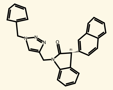 O=C1[C@H](c2ccc3ccccc3c2)c2ccccc2N1Cc1cn(Cc2ccccc2)nn1